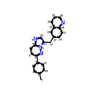 Cc1ccc(-c2ccc3ncc(Cc4ccc5ncccc5c4)n3n2)cc1